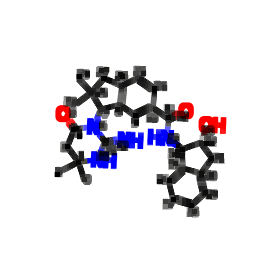 CC1(C)CC(=O)N(C2c3cc(C(=O)N[C@@H]4c5ccccc5C[C@H]4O)ccc3CC2(C)C)C(=N)N1